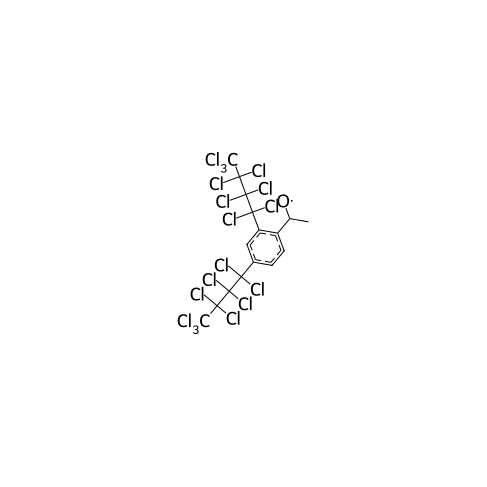 CC([O])c1ccc(C(Cl)(Cl)C(Cl)(Cl)C(Cl)(Cl)C(Cl)(Cl)Cl)cc1C(Cl)(Cl)C(Cl)(Cl)C(Cl)(Cl)C(Cl)(Cl)Cl